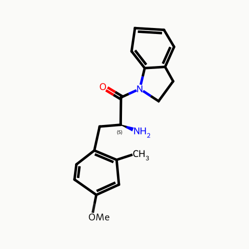 COc1ccc(C[C@H](N)C(=O)N2CCc3ccccc32)c(C)c1